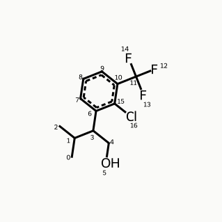 CC(C)C(CO)c1cccc(C(F)(F)F)c1Cl